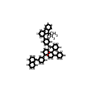 CC1(C)c2ccccc2-c2cccc(-c3ccc(N(c4ccc(-c5cccc(-c6cccc7ccccc67)c5)cc4)c4ccccc4-c4ccccc4-c4ccccc4)cc3)c21